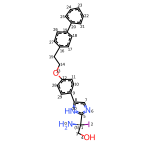 N[C@@](I)(CO)c1ncc(-c2ccc(OCCc3ccc(-c4ccccc4)cc3)cc2)[nH]1